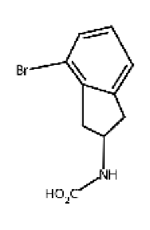 O=C(O)NC1Cc2cccc(Br)c2C1